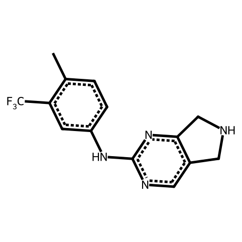 Cc1ccc(Nc2ncc3c(n2)CNC3)cc1C(F)(F)F